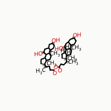 C[C@H](CCC(=O)OC(=O)CC[C@@H](C)[C@H]1CCC2C3C(CC[C@@]21C)[C@@]1(C)CC[C@H](O)CC1C[C@@H]3O)[C@H]1CC[C@H]2[C@@H]3[C@@H](O)CC4C[C@@H](O)CC[C@]4(C)[C@H]3CC[C@]12C